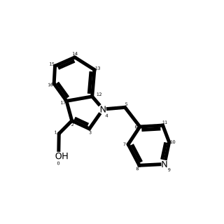 OCc1cn(Cc2ccncc2)c2ccccc12